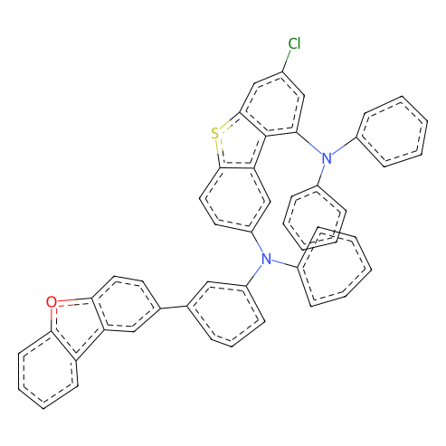 Clc1cc(N(c2ccccc2)c2ccccc2)c2c(c1)sc1ccc(N(c3ccccc3)c3cccc(-c4ccc5oc6ccccc6c5c4)c3)cc12